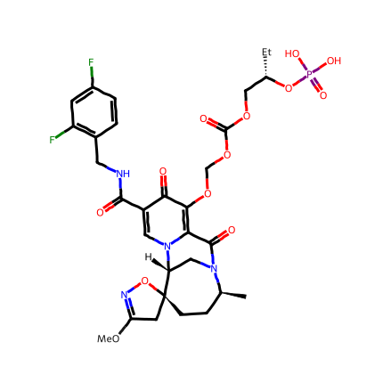 CC[C@@H](COC(=O)OCOc1c2n(cc(C(=O)NCc3ccc(F)cc3F)c1=O)[C@@H]1CN(C2=O)[C@@H](C)CC[C@]12CC(OC)=NO2)OP(=O)(O)O